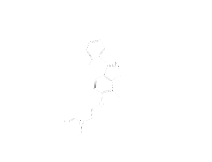 CCN(C=O)CCOc1ccc2c(-c3ccccc3F)noc2c1C